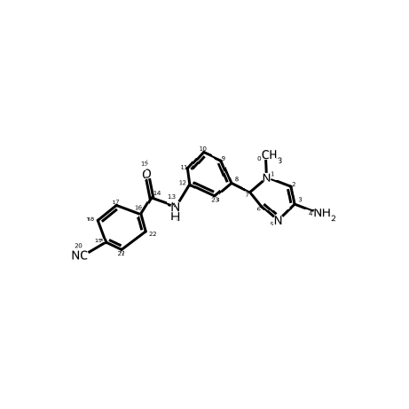 CN1C=C(N)N=CC1c1cccc(NC(=O)c2ccc(C#N)cc2)c1